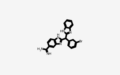 N=C(N)c1ccc2[nH]c(C(C3=CC=C=C(Br)C3)c3nc4ccccc4[nH]3)nc2c1